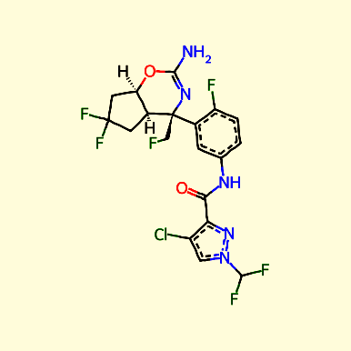 NC1=N[C@](CF)(c2cc(NC(=O)c3nn(C(F)F)cc3Cl)ccc2F)[C@H]2CC(F)(F)C[C@H]2O1